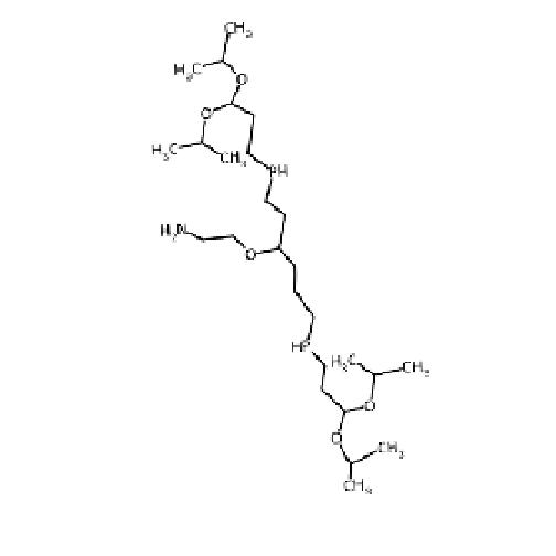 CC(C)OC(CCPCCCC(CCPCCC(OC(C)C)OC(C)C)OCCN)OC(C)C